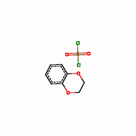 O=S(=O)(Cl)Cl.c1ccc2c(c1)OCCO2